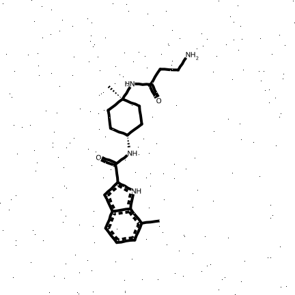 Cc1cccc2cc(C(=O)N[C@H]3CC[C@](C)(NC(=O)CCN)CC3)[nH]c12